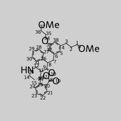 COCCCc1cc(CC(C(=O)C2CNCC[C@@]23OC(=O)c2ccccc23)c2ccccc2)cc(OCCOC)c1